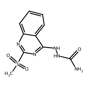 CS(=O)(=O)c1nc(NNC(N)=O)c2ccccc2n1